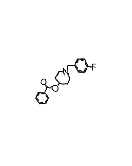 O=C(OC1CCN(Cc2ccc(F)cc2)CC1)c1ccccc1